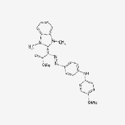 COC(=O)C(/N=N/c1ccc(Nc2ccc(OC)cc2)cc1)=C1N(C)c2ccccc2N1C